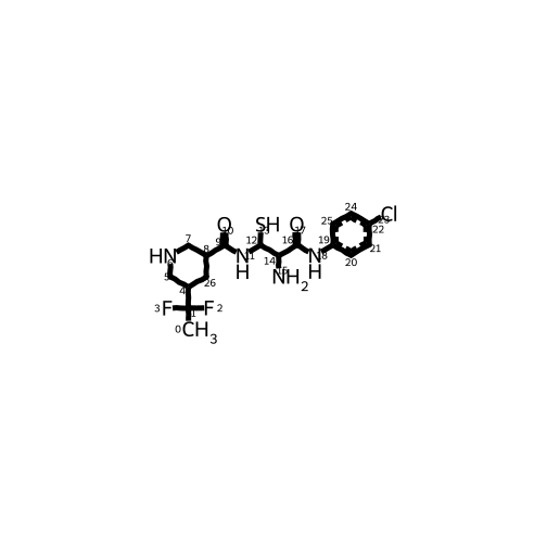 CC(F)(F)C1CNCC(C(=O)NC(S)C(N)C(=O)Nc2ccc(Cl)cc2)C1